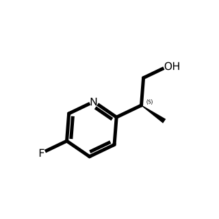 C[C@H](CO)c1ccc(F)cn1